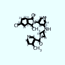 Cc1ccncc1C(=O)N1CC(Nc2cncc(N3C(=O)c4ccc(Cl)cc4C3C)c2)C1